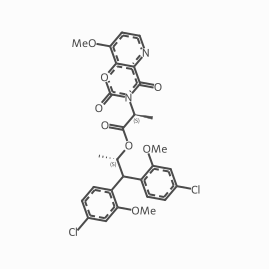 COc1cc(Cl)ccc1C(c1ccc(Cl)cc1OC)[C@H](C)OC(=O)[C@H](C)n1c(=O)oc2c(OC)ccnc2c1=O